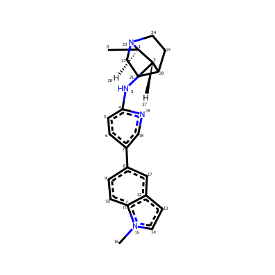 C[C@@H]1[C@@H](Nc2ccc(-c3ccc4c(ccn4C)c3)cn2)C2CCN1CC2